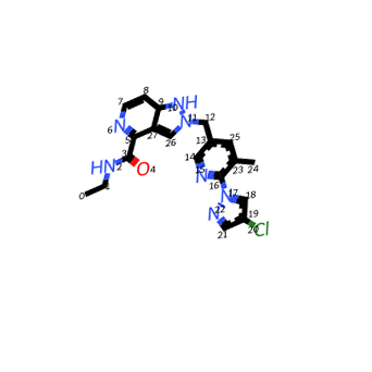 CCNC(=O)C1=NC=CC2NN(Cc3cnc(-n4cc(Cl)cn4)c(C)c3)C=C12